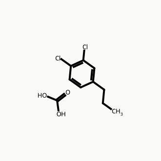 CCCc1ccc(Cl)c(Cl)c1.O=C(O)O